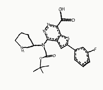 CC(C)(C)OC(=O)N(c1nnc(C(=O)O)c2sc(-c3cccc(F)c3)cc12)C1CCCNC1